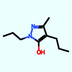 CCCc1c(C)nn(CCC)c1O